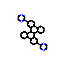 c1ccc2c(c1)c1ccc(-c3cnccn3)cc1c1c3ccccc3c3ccc(-c4cnccn4)cc3c21